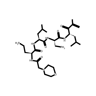 C=C(C)C(=O)[C@H](CC(C)C)NC(=O)[C@H](CP)NC(=O)[C@H](CC(C)C)NC(=O)[C@H](CCP)NC(=O)CN1CCOCC1